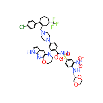 O=C(NS(=O)(=O)c1ccc(NC[C@H]2COCCO2)c([N+](=O)[O-])c1)c1ccc(N2CCN(CC3=C(c4ccc(Cl)cc4)CCC[C@H](C(F)(F)F)C3)CC2)cc1N1CCCOc2nc3[nH]ccc3cc21